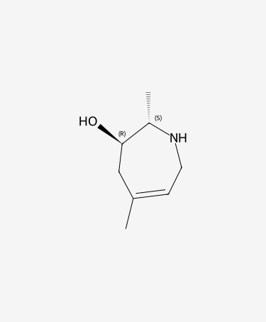 CC1=CCN[C@@H](C)[C@H](O)C1